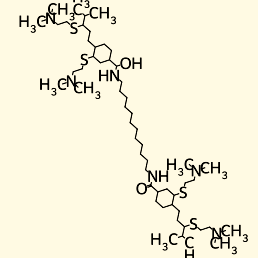 CC(C)C(CCC1CCC(C(=O)NCCCCCCCCCCCCNC(O)C2CCC(CCC(SCCN(C)C)C(C)C)C(SCCN(C)C)C2)CC1SCCN(C)C)SCCN(C)C